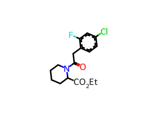 CCOC(=O)C1CCCCN1C(=O)Cc1ccc(Cl)cc1F